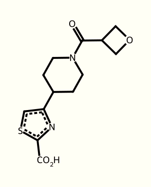 O=C(O)c1nc(C2CCN(C(=O)C3COC3)CC2)cs1